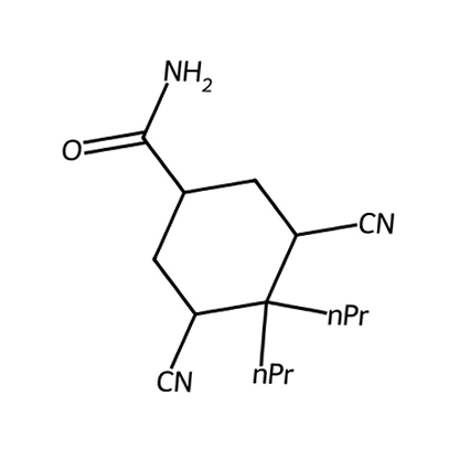 CCCC1(CCC)C(C#N)CC(C(N)=O)CC1C#N